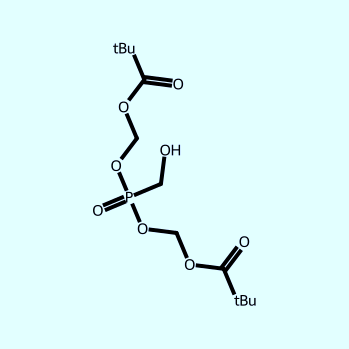 CC(C)(C)C(=O)OCOP(=O)(CO)OCOC(=O)C(C)(C)C